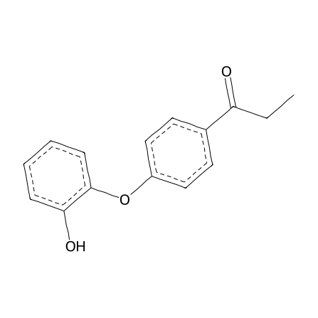 CCC(=O)c1ccc(Oc2ccccc2O)cc1